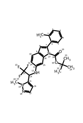 Cc1ccccc1-c1cc2ccc(NC(c3ccnn3C)C(F)(F)F)cc2n1C(=O)OC(C)(C)C